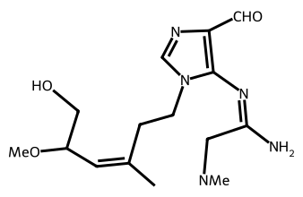 CNC/C(N)=N\c1c(C=O)ncn1CC/C(C)=C\C(CO)OC